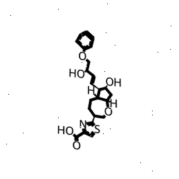 O=C(O)c1csc([C@H]2CC[C@@H]3[C@@H](/C=C/[C@@H](O)COc4cc#ccc4)[C@H](O)C[C@@H]3OC2)n1